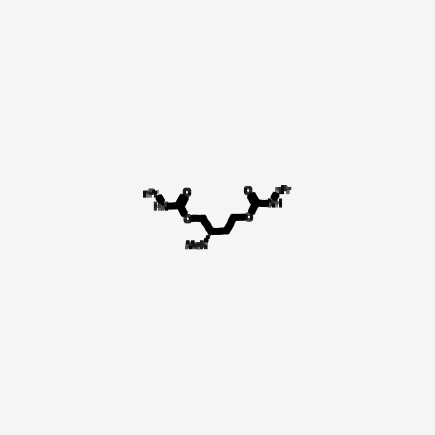 CCCNC(=O)OCC[C@@H](COC(=O)NCCC)NC